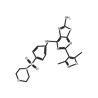 Cc1noc(C)c1-c1nc(Nc2ccc(S(=O)(=O)N3CCOCC3)cc2)c2nc(N)sc2n1